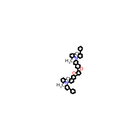 Cc1cccc(C)c1N(c1cccc(-c2ccccc2)c1)c1ccc2cc3c(cc2c1)oc1c3ccc2oc3cc4cc(N(c5cccc(-c6ccccc6)c5)c5c(C)cccc5C)ccc4cc3c21